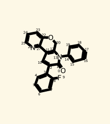 O=c1c(-c2ccccc2F)cc2c(n1-c1cc#ccc1)COc1cccnc1-2